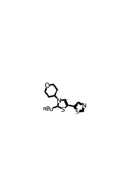 CCCCC1SC(c2cncs2)=[C]N1C1CCOCC1